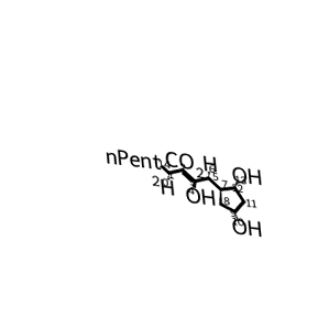 [2H][C@@H](C=C(O)[C@H](C(=O)O)[C@@H]1C[C@@H](O)C[C@H]1O)CCCCC